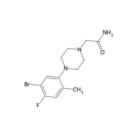 Cc1cc(F)c(Br)cc1N1CCN(CC(N)=O)CC1